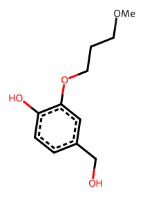 COCCCOc1cc(CO)ccc1O